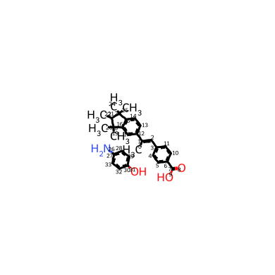 CC(=Cc1ccc(C(=O)O)cc1)c1ccc2c(c1)C(C)(C)C(C)C2(C)C.Nc1ccc(O)cc1